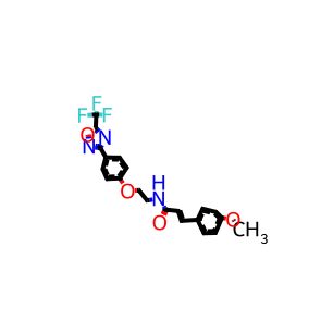 COc1ccc(C=CC(=O)NCCOc2ccc(-c3noc(C(F)(F)F)n3)cc2)cc1